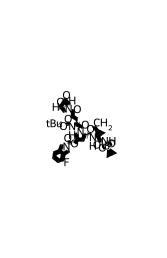 C=CC1C[C@]1(NC(=O)[C@@H]1CC(OC(=O)N2Cc3cccc(F)c3C2)CN1C(=O)[C@H](CCC(=O)N1C[C@H]2C[C@@H]1C(=O)O2)NC(=O)OC(C)(C)C)C(=O)NS(=O)(=O)C1CC1